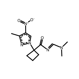 Cc1nn(C2(C(=O)/N=C/N(C)C)CCC2)cc1[N+](=O)[O-]